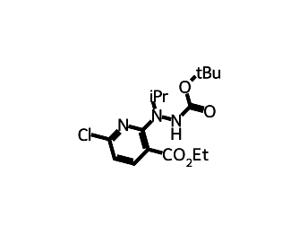 CCOC(=O)c1ccc(Cl)nc1N(NC(=O)OC(C)(C)C)C(C)C